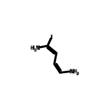 N/C=C\C=C(/N)I